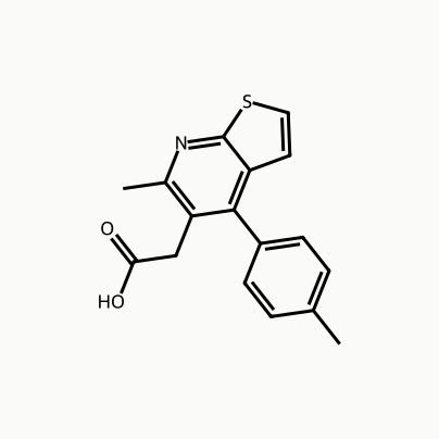 Cc1ccc(-c2c(CC(=O)O)c(C)nc3sccc23)cc1